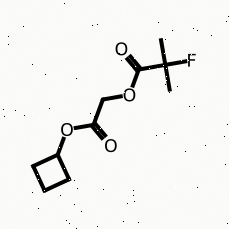 CC(C)(F)C(=O)OCC(=O)OC1CCC1